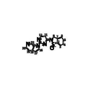 [O-][S+]1c2ccccc2CN1c1ccnc(-n2ccc3ccncc32)n1